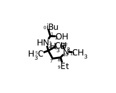 CCC(C)C(O)NC(C)(C)CC(CC)N(C)C